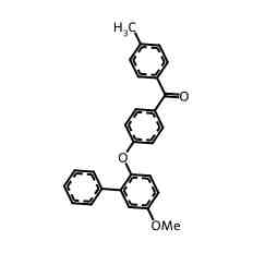 COc1ccc(Oc2ccc(C(=O)c3ccc(C)cc3)cc2)c(-c2ccccc2)c1